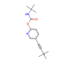 CC(C)(C)NC(=O)Oc1ccc(C#C[Si](C)(C)C)cn1